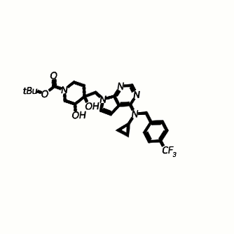 CC(C)(C)OC(=O)N1CCC(O)(Cn2ccc3c(N(Cc4ccc(C(F)(F)F)cc4)C4CC4)ncnc32)C(O)C1